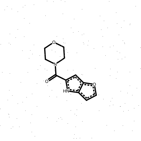 O=C(c1cc2occc2[nH]1)N1CCOCC1